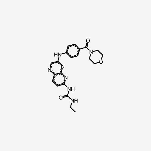 CCNC(=O)Nc1ccc2ncc(Nc3ccc(C(=O)N4CCOCC4)cc3)nc2n1